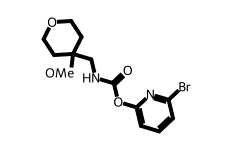 COC1(CNC(=O)Oc2cccc(Br)n2)CCOCC1